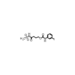 CS(=O)(=O)NC(=O)CCCOC(=O)Nc1cccc(I)c1